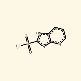 CS(=O)(=O)c1nc2ncccc2[nH]1